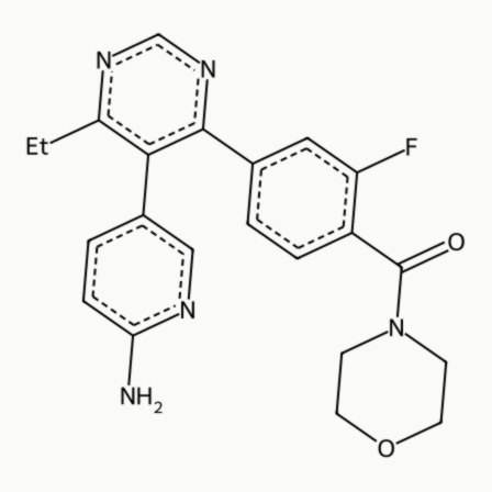 CCc1ncnc(-c2ccc(C(=O)N3CCOCC3)c(F)c2)c1-c1ccc(N)nc1